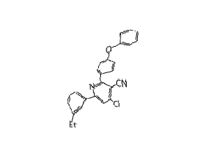 CCc1cccc(-c2cc(Cl)c(C#N)c(-c3ccc(Oc4ccccc4)cc3)n2)c1